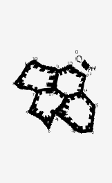 O=P.c1cc2ccc3cccc4ccc(c1)c2c34